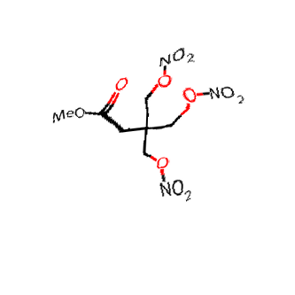 COC(=O)CC(CO[N+](=O)[O-])(CO[N+](=O)[O-])CO[N+](=O)[O-]